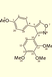 COc1ccc(-c2conc2-c2ccc(OC)c(OC)c2OC)cc1